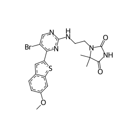 COc1ccc2cc(-c3nc(NCCN4C(=O)NC(=O)C4(C)C)ncc3Br)sc2c1